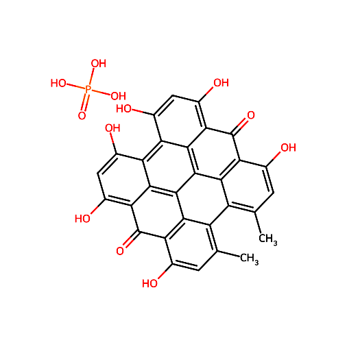 Cc1cc(O)c2c(=O)c3c(O)cc(O)c4c5c(O)cc(O)c6c(=O)c7c(O)cc(C)c8c1c2c(c34)c(c78)c65.O=P(O)(O)O